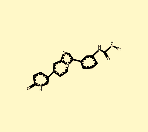 CCNC(=O)Nc1cccc(-c2cnc3cc(-c4ccc(=O)[nH]c4)ccn23)c1